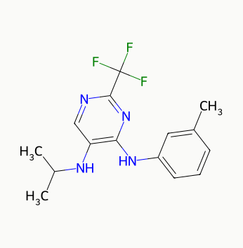 Cc1cccc(Nc2nc(C(F)(F)F)ncc2NC(C)C)c1